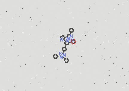 c1ccc(-c2cc(-c3cccnc3-c3cc(-c4ccc(-c5nc(-c6ccccc6)nc(-c6ccccc6)n5)cc4)cc(-c4ccccn4)n3)nc(-c3ccccc3)n2)cc1